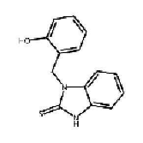 Oc1ccccc1Cn1c(=S)[nH]c2ccccc21